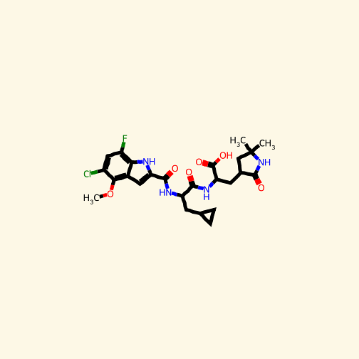 COc1c(Cl)cc(F)c2[nH]c(C(=O)NC(CC3CC3)C(=O)NC(CC3CC(C)(C)NC3=O)C(=O)O)cc12